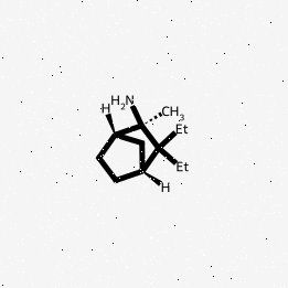 CCC1(CC)[C@@H]2CC[C@@H](C2)[C@@]1(C)N